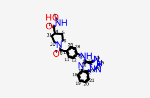 O=C(NO)C1CCN(C(=O)c2ccc(Nc3nc4ccccc4n4nnnc34)cc2)CC1